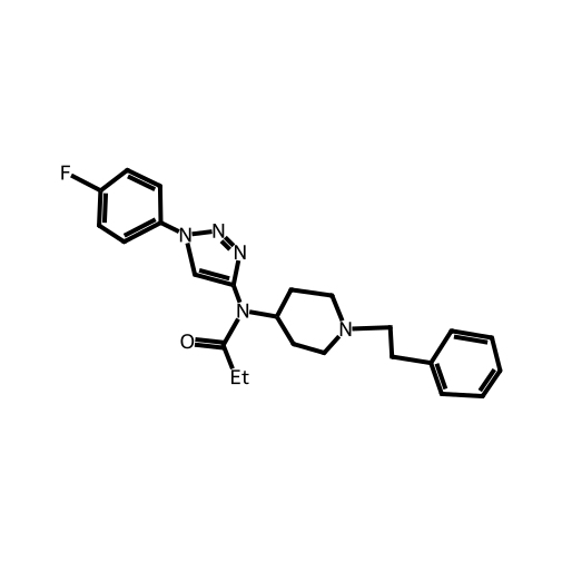 CCC(=O)N(c1cn(-c2ccc(F)cc2)nn1)C1CCN(CCc2ccccc2)CC1